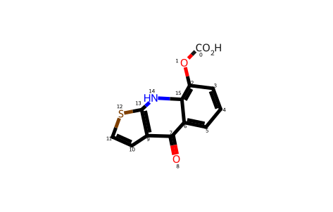 O=C(O)Oc1cccc2c(=O)c3ccsc3[nH]c12